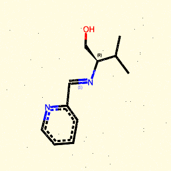 CC(C)[C@H](CO)/N=C/c1ccccn1